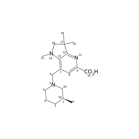 C[C@H]1CCCN(Cc2cc(C(=O)O)nc3c2N(C)CC3(C)C)C1